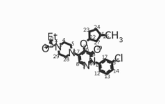 CC[S+]([O-])N1CCN(c2cnn(-c3cccc(Cl)c3)c(=O)c2OC2CCC(C)C2)CC1